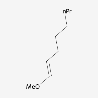 CCCCCCC=COC